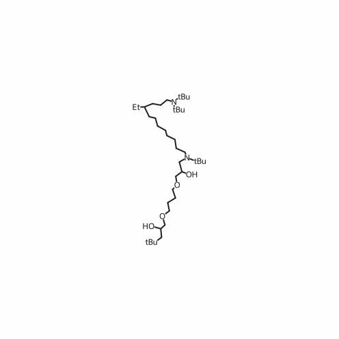 CCC(CCCCCCCCN(CC(O)COCCCCOCC(O)CC(C)(C)C)C(C)(C)C)CCCN(C(C)(C)C)C(C)(C)C